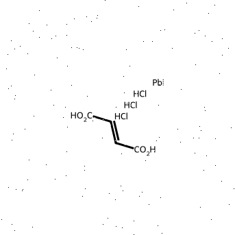 Cl.Cl.Cl.O=C(O)C=CC(=O)O.[Pb]